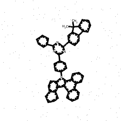 CC1(C)c2ccccc2-c2ccc(-c3nc(-c4ccccc4)nc(-c4ccc(-n5c6ccc7ccccc7c6c6c7ccccc7c7ccccc7c65)cc4)n3)cc21